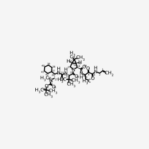 C=CCNC(=O)C(=O)C(CC)NC(=O)[C@@H]1[C@@H]2[C@H](CN1C(=O)[C@@H](NC(=O)N[C@H](CN(C)C(=O)OC(C)(C)C)C1CCCCC1)C(C)(C)C)C2(C)C